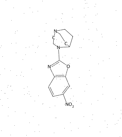 O=[N+]([O-])c1ccc2nc(N3CCN4CCC3CC4)oc2c1